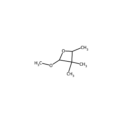 COC1OC(C)C1(C)C